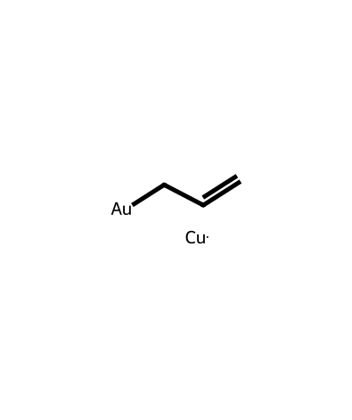 C=C[CH2][Au].[Cu]